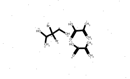 C=C(C)C(=O)O.C=C(C)C(=O)O.CC(O)C(Br)(Br)CO